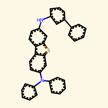 c1ccc(-c2cccc(Nc3ccc4c(c3)sc3cc(N(c5ccccc5)c5ccccc5)ccc34)c2)cc1